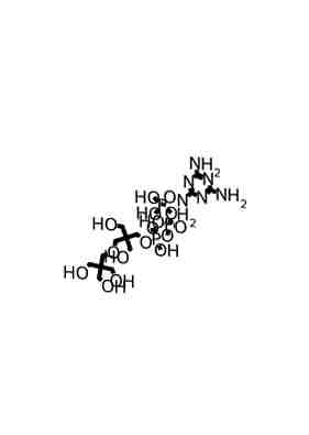 Nc1nc(N)nc(N)n1.O=P(O)(O)OP(=O)(O)OP(=O)(O)OCC(CO)(CO)COCC(CO)(CO)CO